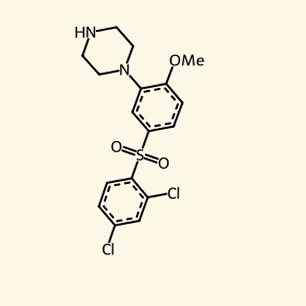 COc1ccc(S(=O)(=O)c2ccc(Cl)cc2Cl)cc1N1CCNCC1